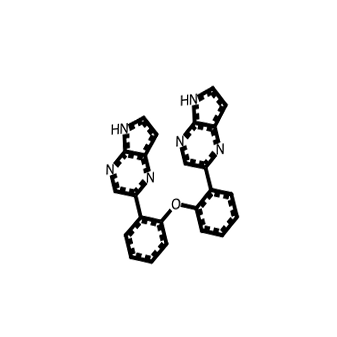 c1ccc(-c2cnc3[nH]ccc3n2)c(Oc2ccccc2-c2cnc3[nH]ccc3n2)c1